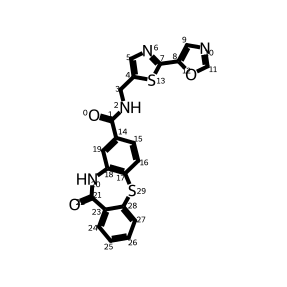 O=C(NCc1cnc(-c2cnco2)s1)c1ccc2c(c1)NC(=O)c1ccccc1S2